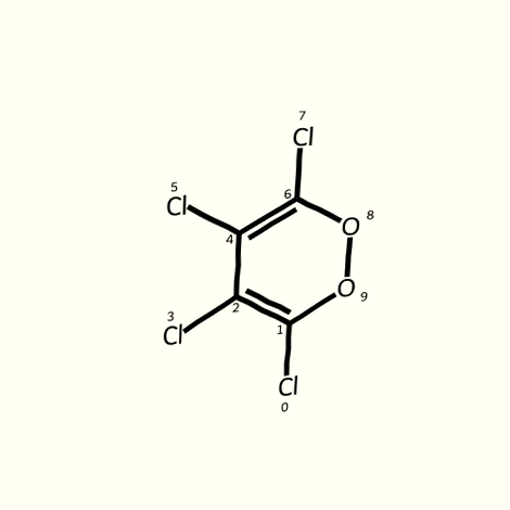 ClC1=C(Cl)C(Cl)=C(Cl)OO1